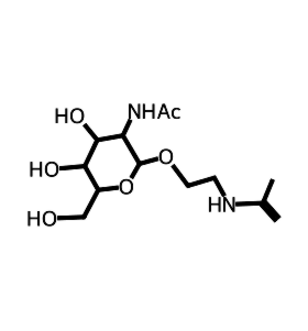 C=C(C)NCCOC1OC(CO)C(O)C(O)C1NC(C)=O